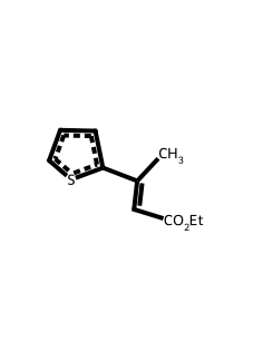 CCOC(=O)/C=C(\C)c1cccs1